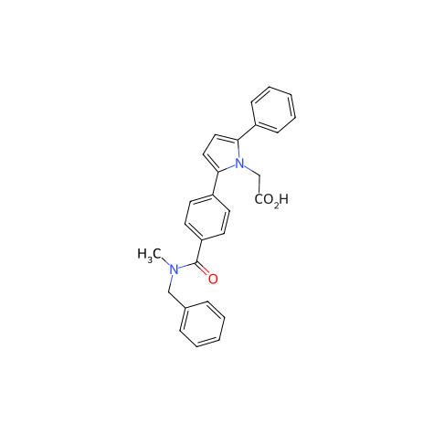 CN(Cc1ccccc1)C(=O)c1ccc(-c2ccc(-c3ccccc3)n2CC(=O)O)cc1